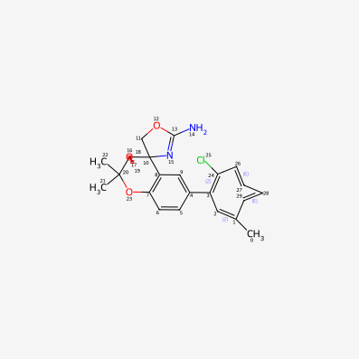 CC1=C/C(c2ccc3c(c2)C2(COC(N)=N2)C2(COC2)C(C)(C)O3)=C(Cl)\C=C\C=C\1